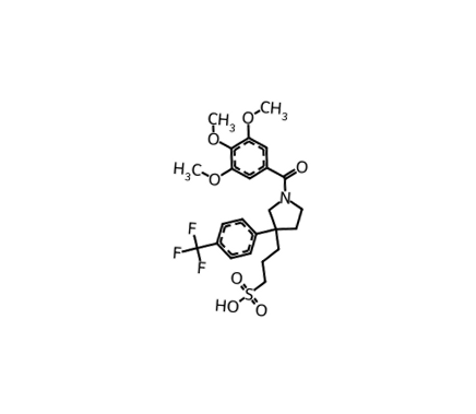 COc1cc(C(=O)N2CCC(CCCS(=O)(=O)O)(c3ccc(C(F)(F)F)cc3)C2)cc(OC)c1OC